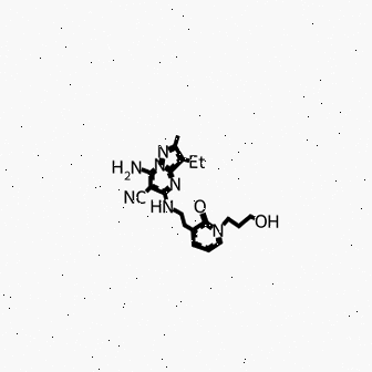 CCc1c(C)nn2c(N)c(C#N)c(NCCc3cccn(CCCO)c3=O)nc12